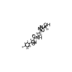 Cc1ccc(-c2cc(C(=O)N[C@H]3C[C@H](c4nnc([C@@H](C)O)o4)C3)no2)cc1